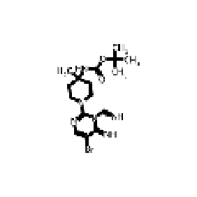 CC1(NC(=O)OC(C)(C)C)CCN(c2ncc(Br)c(=N)n2C=N)CC1